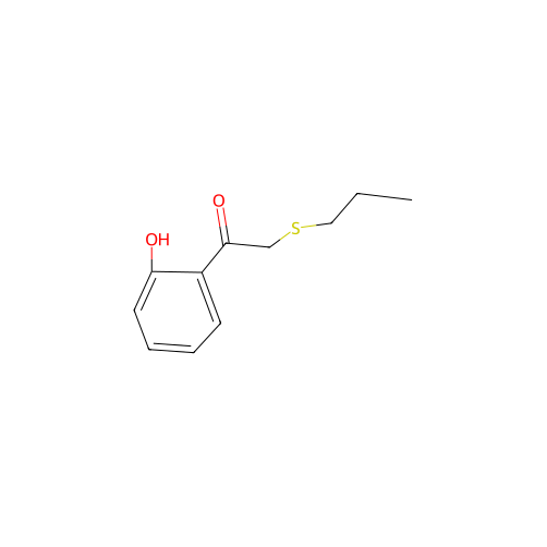 CCCSCC(=O)c1ccccc1O